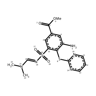 COC(=O)c1cc(N)c(Sc2ncccn2)c(S(=O)(=O)N=CN(C)C)c1